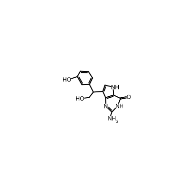 Nc1nc2c(C(CO)c3cccc(O)c3)c[nH]c2c(=O)[nH]1